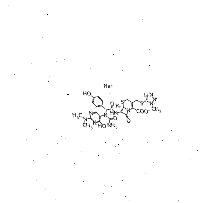 CN(C)c1ncc(N(C(N)=O)C(C(=O)NC2C(=O)N3C(C(=O)[O-])=C(CSc4nnnn4C)CS[C@H]23)c2ccc(O)cc2)c(O)n1.[Na+]